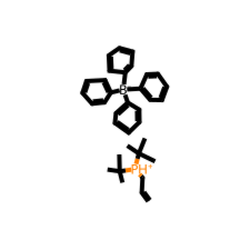 C=CC[PH+](C(C)(C)C)C(C)(C)C.c1ccc([B-](c2ccccc2)(c2ccccc2)c2ccccc2)cc1